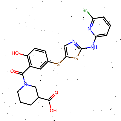 O=C(O)C1CCCN(C(=O)c2cc(Sc3cnc(Nc4cccc(Br)n4)s3)ccc2O)C1